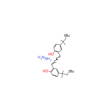 CC(C)(C)CC(C)(C)c1ccc(O)c(C=C=C=Cc2cc(C(C)(C)CC(C)(C)C)ccc2O)c1.N.N